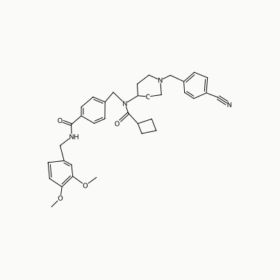 COc1ccc(CNC(=O)c2ccc(CN(C(=O)C3CCC3)C3CCN(Cc4ccc(C#N)cc4)CC3)cc2)cc1OC